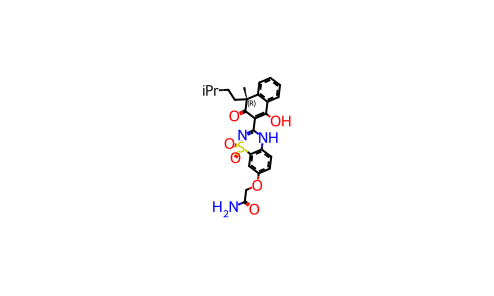 CC(C)CC[C@@]1(C)C(=O)C(C2=NS(=O)(=O)c3cc(OCC(N)=O)ccc3N2)=C(O)c2ccccc21